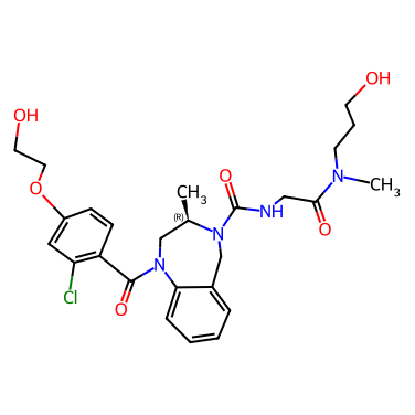 C[C@@H]1CN(C(=O)c2ccc(OCCO)cc2Cl)c2ccccc2CN1C(=O)NCC(=O)N(C)CCCO